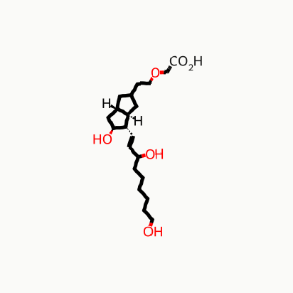 O=C(O)COCCC1C[C@H]2C[C@H](O)[C@@H](C=CC(O)CCCCCCO)[C@@H]2C1